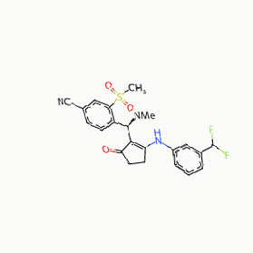 CN[C@@H](C1=C(Nc2cccc(C(F)F)c2)CCC1=O)c1ccc(C#N)cc1S(C)(=O)=O